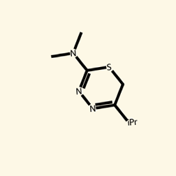 CC(C)C1=NN=C(N(C)C)SC1